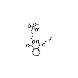 C=CCOC(=O)c1ccccc1C(=O)OCC[CH2][Ti]([O]C)([O]C)[O]C